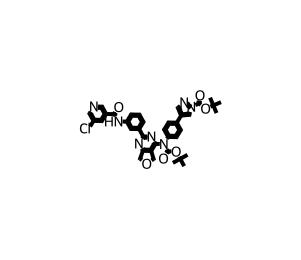 CC(C)(C)OC(=O)N(c1ccc(-c2cnn(C(=O)OC(C)(C)C)c2)cc1)c1nc(-c2cccc(NC(=O)c3cncc(Cl)c3)c2)nc2c1COC2